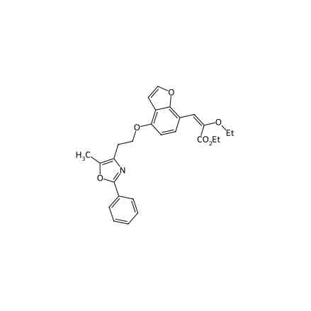 CCOC(=O)/C(=C\c1ccc(OCCc2nc(-c3ccccc3)oc2C)c2ccoc12)OCC